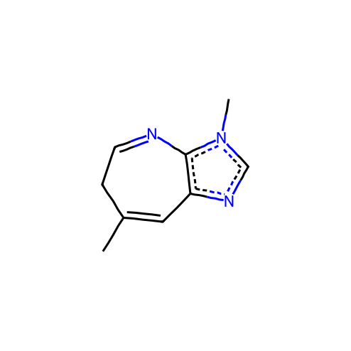 CC1=Cc2ncn(C)c2N=CC1